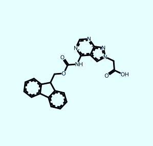 O=C(O)Cn1cc2c(NC(=O)OCC3c4ccccc4-c4ccccc43)ncnc2n1